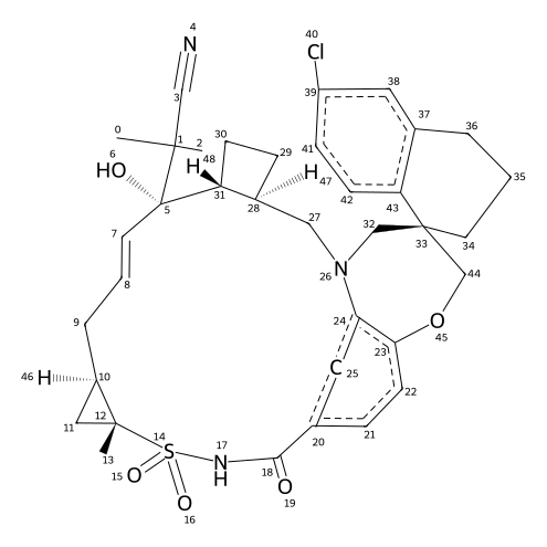 CC(C)(C#N)[C@]1(O)/C=C/C[C@@H]2C[C@@]2(C)S(=O)(=O)NC(=O)c2ccc3c(c2)N(C[C@@H]2CC[C@H]21)C[C@@]1(CCCc2cc(Cl)ccc21)CO3